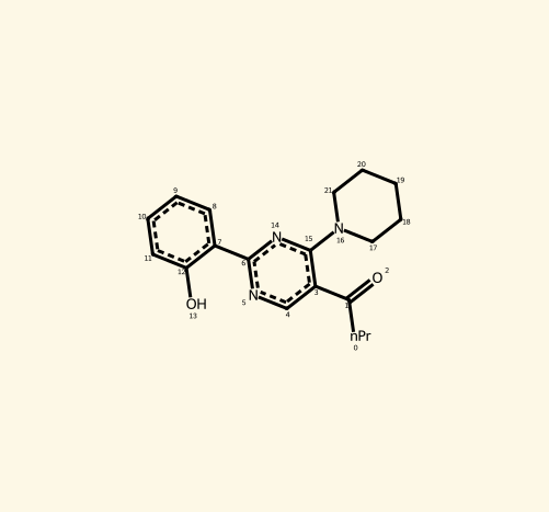 CCCC(=O)c1cnc(-c2ccccc2O)nc1N1CCCCC1